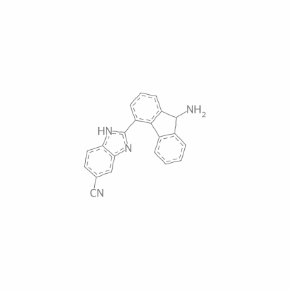 N#Cc1ccc2[nH]c(-c3cccc4c3-c3ccccc3C4N)nc2c1